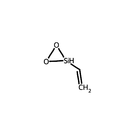 C=C[SiH]1OO1